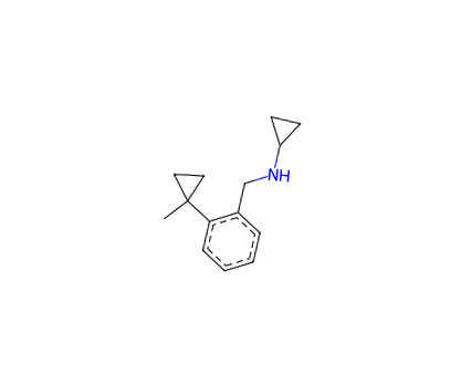 CC1(c2ccccc2CNC2CC2)CC1